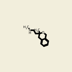 CNCCC1(C)Cc2ccccc2CO1